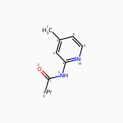 CCCC(=O)Nc1cc(C)ccn1